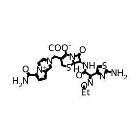 CCO/N=C(\C(=O)N[C@@H]1C(=O)N2C(C(=O)[O-])=C(Cn3cc[n+]4c(C(N)=O)ccc-4c3)CS[C@@H]12)c1csc(N)n1